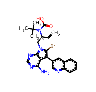 C=C[C@@H](Cn1c(Br)c(-c2cnc3ccccc3c2)c2c(N)ncnc21)N(C(=O)O)C(C)(C)C